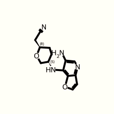 N#CC[C@H]1CC[C@H](Nc2c(N)cnc3ccoc23)CO1